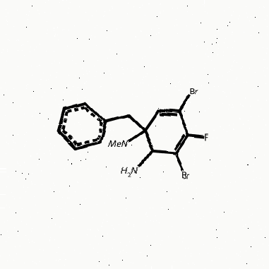 CNC1(Cc2ccccc2)C=C(Br)C(F)=C(Br)C1N